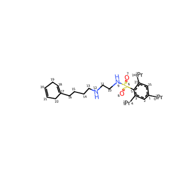 CC(C)c1cc(C(C)C)c(S(=O)(=O)NCCNCCCCC2=CCC=CC2)c(C(C)C)c1